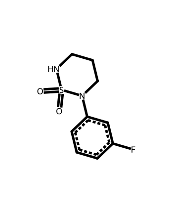 O=S1(=O)NCCCN1c1cccc(F)c1